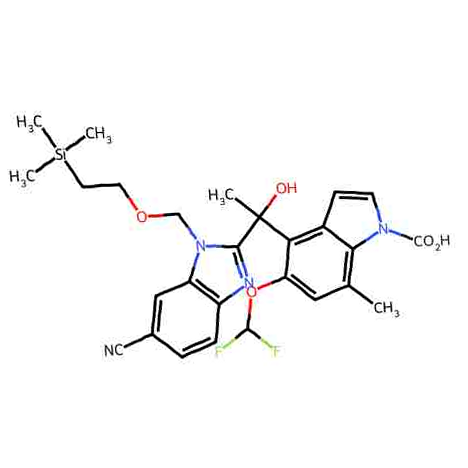 Cc1cc(OC(F)F)c(C(C)(O)c2nc3ccc(C#N)cc3n2COCC[Si](C)(C)C)c2ccn(C(=O)O)c12